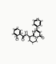 O=C(NC1CCCn2c1nc(-c1ccncc1)cc2=O)c1ccccc1Cl